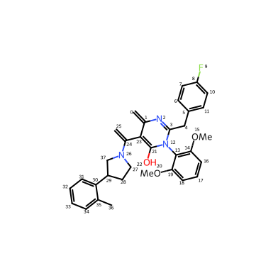 C=C1N=C(Cc2ccc(F)cc2)N(c2c(OC)cccc2OC)C(O)=C1C(=C)N1CCC(c2ccccc2C)C1